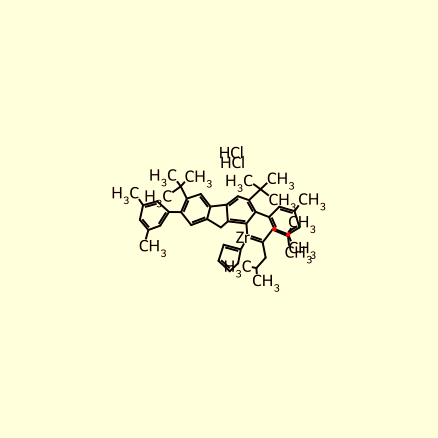 Cc1cc(C)cc(-c2cc3c(cc2C(C)(C)C)-c2cc(C(C)(C)C)c(-c4cc(C)cc(C)c4)[c]([Zr]([C]4=CC=CC4)=[C](CC(C)C)CC(C)C)c2C3)c1.Cl.Cl